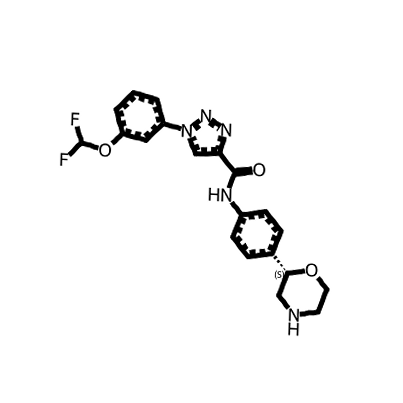 O=C(Nc1ccc([C@H]2CNCCO2)cc1)c1cn(-c2cccc(OC(F)F)c2)nn1